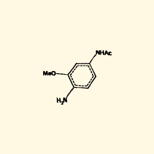 COc1cc(NC(C)=O)ccc1N